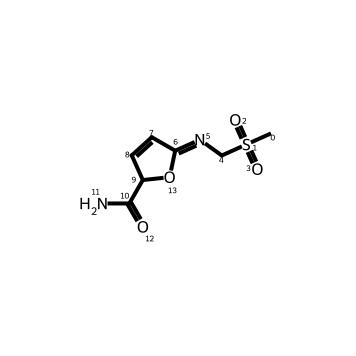 CS(=O)(=O)CN=C1C=CC(C(N)=O)O1